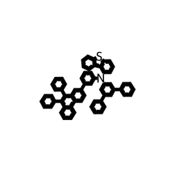 c1ccc(-c2cc(-c3ccccc3)cc(N(c3cccc(-c4ccc5c(c4)c(-c4ccccc4)c(-c4ccccc4)c4ccccc45)c3)c3cccc4sc5ccccc5c34)c2)cc1